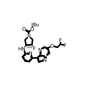 CC(C)(C)OC(=O)N1C[C@H](Nc2cccc(-c3cnn4cc(OCC(F)F)cnc34)n2)[C@@H](F)C1